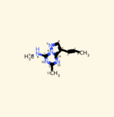 CC#Cc1cnn2c(NC)nc(C)nc12